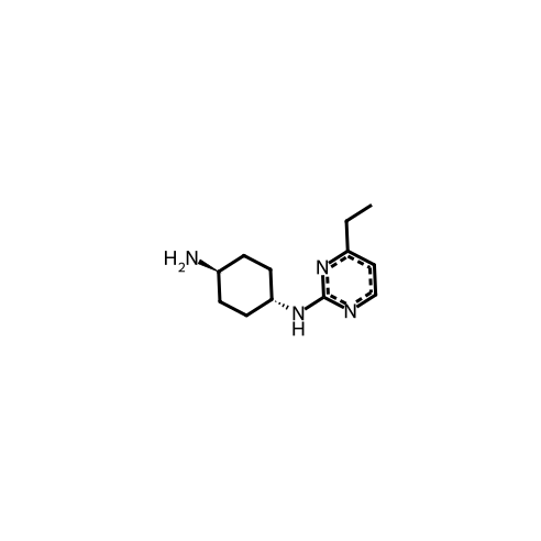 CCc1ccnc(N[C@H]2CC[C@H](N)CC2)n1